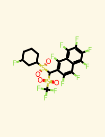 O=S(=O)(C1CCCC(F)C1)C(c1c(F)c(F)c2c(F)c(F)c(F)c(F)c2c1F)S(=O)(=O)C(F)(F)F